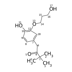 CC(C)(C)C(=O)Cc1ccc(O)c(OCCCO)c1